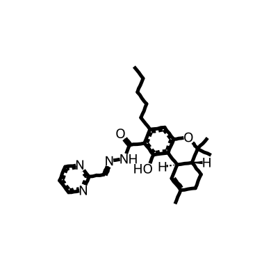 CCCCCc1cc2c(c(O)c1C(=O)N/N=C/c1ncccn1)[C@@H]1C=C(C)CC[C@H]1C(C)(C)O2